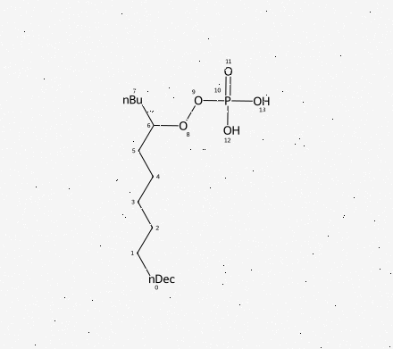 CCCCCCCCCCCCCCCC(CCCC)OOP(=O)(O)O